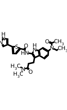 CCN(C(C)=O)c1ccc2c(CCC(=O)N(C)C)c(NC(=O)c3ccc(-c4cn[nH]c4)s3)[nH]c2c1